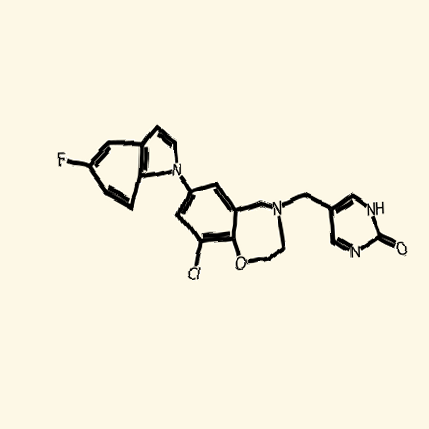 O=c1ncc(CN2CCOc3c(Cl)cc(-n4ccc5cc(F)ccc54)cc3C2)c[nH]1